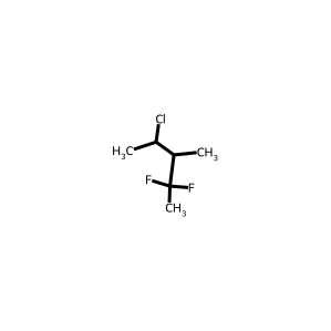 CC(Cl)C(C)C(C)(F)F